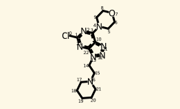 Clc1nc(N2CCOCC2)c2nnn(CCN3CCCCC3)c2n1